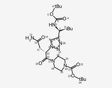 CC[C@H](C)[C@H](NC(=O)OC(C)(C)C)c1cn([C@@H](CC(N)=O)C(=O)N2CCN(C(=O)OC(C)(C)C)CC2)nn1